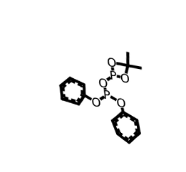 CC1(C)OP(OP(Oc2ccccc2)Oc2ccccc2)O1